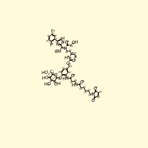 CC(C)(C)[C@H](c1nc(-c2cc(F)ccc2F)c[nH]1)N(CC[C@@H](CF)NC(=O)OCc1ccc(O[C@@H]2O[C@H](C(=O)O)[C@@H](O)[C@H](O)[C@H]2O)c(NC(=O)CCNC(=O)CCCCCN2C(=O)C=CC2=O)c1)C(=O)CO